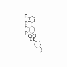 C=CC1CCC(COC2(OCC)C=CC(c3cccc(F)c3F)C(F)=C2F)CC1